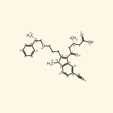 C[C@H](CC(=O)O)CC(=O)c1c(CCCOC[C@@H](C)c2ccccc2)n(C)c2ncc(C#N)cc12